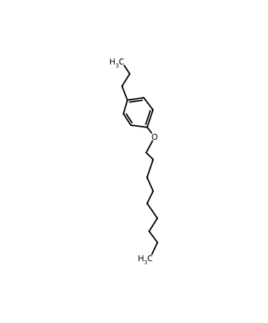 CCCCCCCCCOc1ccc(CCC)cc1